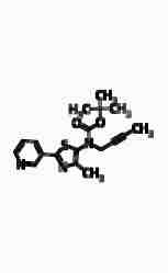 CC#CCN(C(=O)OC(C)(C)C)c1sc(-c2cccnc2)nc1C